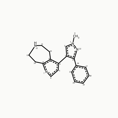 Cn1cc(-c2ccnc3c2CCNCC3)c(-c2ccccc2)n1